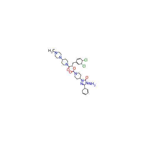 CN1CCN(C2CCN(C(=O)[C@@H](CC3=CC(Cl)C(Cl)C=C3)OC(=O)N3CCC(n4nc(C5C=CC=CC5)n(N)c4=O)CC3)CC2)CC1